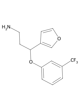 NCCC(Oc1cccc(C(F)(F)F)c1)c1ccoc1